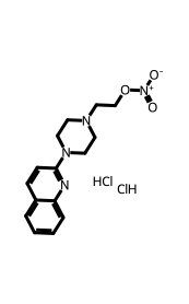 Cl.Cl.O=[N+]([O-])OCCN1CCN(c2ccc3ccccc3n2)CC1